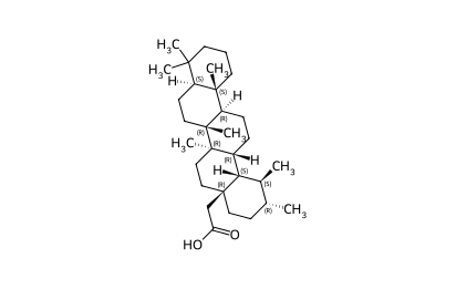 C[C@@H]1[C@H]2[C@H]3CC[C@@H]4[C@@]5(C)CCCC(C)(C)[C@@H]5CC[C@@]4(C)[C@]3(C)CC[C@@]2(CC(=O)O)CC[C@H]1C